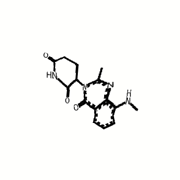 CNc1cccc2c(=O)n(C3CCC(=O)NC3=O)c(C)nc12